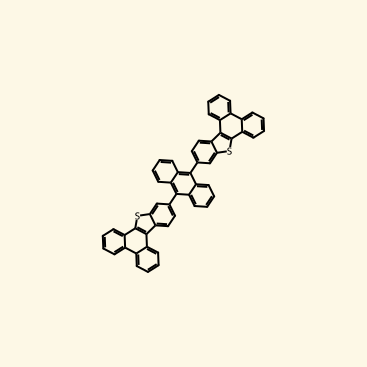 c1ccc2c(-c3ccc4c(c3)sc3c5ccccc5c5ccccc5c43)c3ccccc3c(-c3ccc4c(c3)sc3c5ccccc5c5ccccc5c43)c2c1